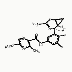 COc1cnc(C(=O)Nc2cc(F)c(F)c([C@@]3(CF)N=C(N)SC4C[C@H]43)c2)c(C)n1